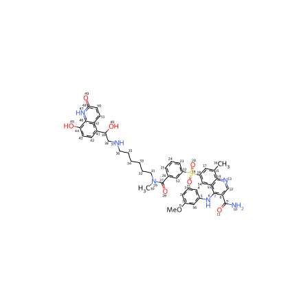 COc1cccc(Nc2c(C(N)=O)cnc3c(C)cc(S(=O)(=O)c4cccc(C(=O)N(C)CCCCCCNCC(O)c5ccc(O)c6[nH]c(=O)ccc56)c4)cc23)c1